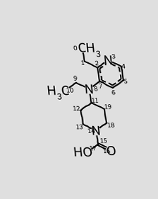 CCc1ncccc1N(CC)C1CCN(C(=O)O)CC1